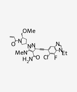 C=CC(=O)N1C[C@@H](n2nc(C#Cc3cc4ncn(CC)c4c(F)c3Cl)c(C(N)=O)c2NC)C[C@@H]1COC